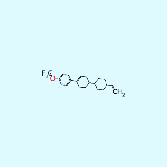 C=CC1CCC(C2CC=C(c3ccc(OC(F)(F)F)cc3)CC2)CC1